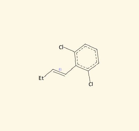 CC/C=C/c1c(Cl)cccc1Cl